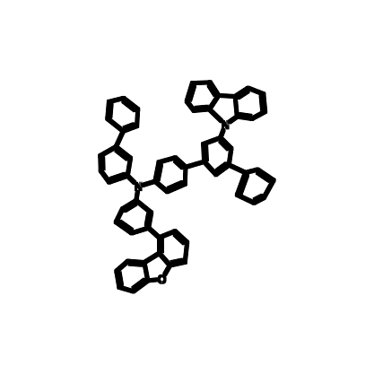 c1ccc(-c2cccc(N(c3ccc(-c4cc(-c5ccccc5)cc(-n5c6ccccc6c6ccccc65)c4)cc3)c3cccc(-c4cccc5oc6ccccc6c45)c3)c2)cc1